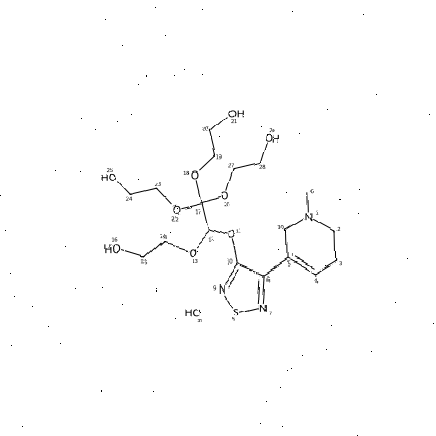 CN1CCC=C(c2nsnc2OC(OCCO)C(OCCO)(OCCO)OCCO)C1.Cl